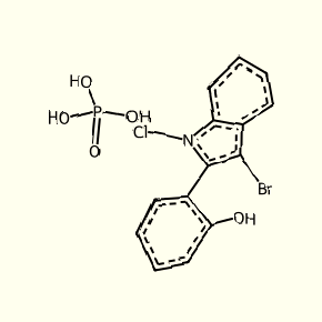 O=P(O)(O)O.Oc1ccccc1-c1c(Br)c2ccccc2n1Cl